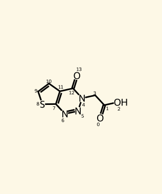 O=C(O)Cn1nnc2sccc2c1=O